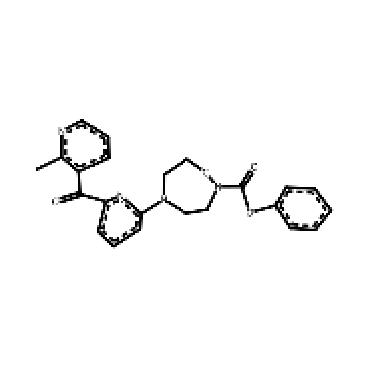 Cc1ncccc1C(=O)c1cccc(N2CCCN(C(=O)Oc3ccccc3)CC2)n1